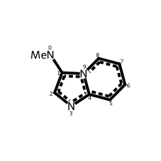 CNc1cnc2ccccn12